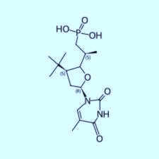 Cc1cn([C@H]2C[C@@H](C(C)(C)C)C([C@H](C)CP(=O)(O)O)O2)c(=O)[nH]c1=O